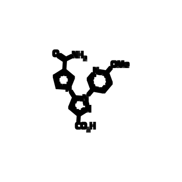 COc1ccc(-n2nc(C(=O)O)cc2-n2ccc(C(N)=O)c2)cn1